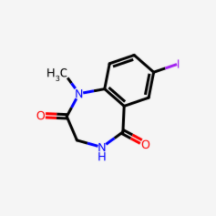 CN1C(=O)CNC(=O)c2cc(I)ccc21